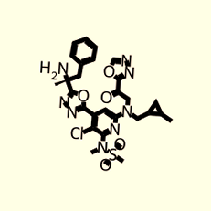 CC1CC1CN(CC(=O)c1nnco1)c1cc(-c2nnc([C@](C)(N)Cc3ccccc3)o2)c(Cl)c(N(C)S(C)(=O)=O)n1